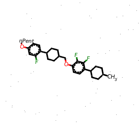 CCCCCOc1ccc(C2CCC(COc3ccc(C4CCC(C)CC4)c(F)c3F)CC2)c(F)c1